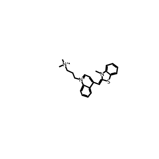 CN1C(=Cc2cc[n+](CCC[N+](C)(C)C)c3ccccc23)Sc2ccccc21